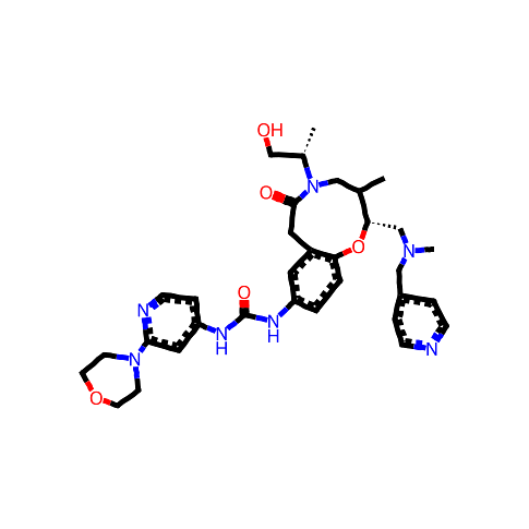 CC1CN([C@@H](C)CO)C(=O)Cc2cc(NC(=O)Nc3ccnc(N4CCOCC4)c3)ccc2O[C@H]1CN(C)Cc1ccncc1